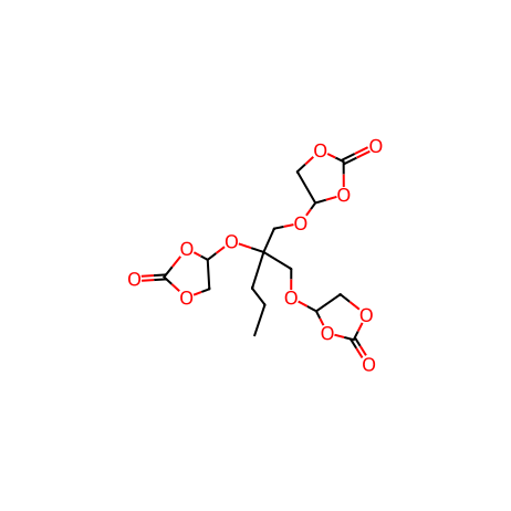 CCCC(COC1COC(=O)O1)(COC1COC(=O)O1)OC1COC(=O)O1